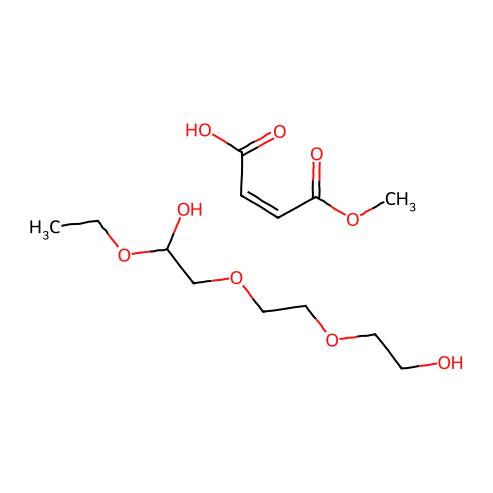 CCOC(O)COCCOCCO.COC(=O)/C=C\C(=O)O